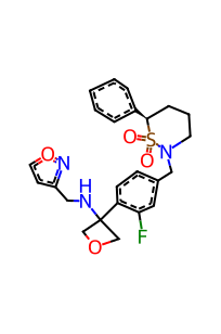 O=S1(=O)[C@@H](c2ccccc2)CCCN1Cc1ccc(C2(NCc3ccon3)COC2)c(F)c1